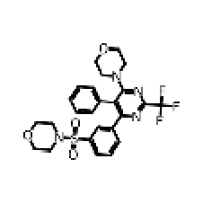 O=S(=O)(c1cccc(-c2nc(C(F)(F)F)nc(N3CCOCC3)c2-c2ccccc2)c1)N1CCOCC1